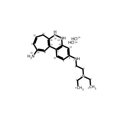 CCN(CC)CCNc1ccc2c(c1)NNC1=C2C=C(N)C=CC1.Cl.Cl